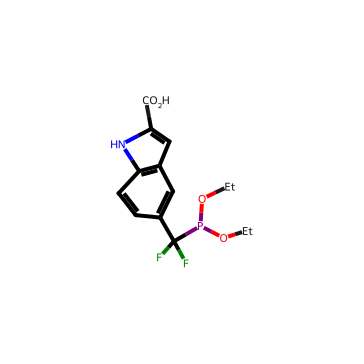 CCOP(OCC)C(F)(F)c1ccc2[nH]c(C(=O)O)cc2c1